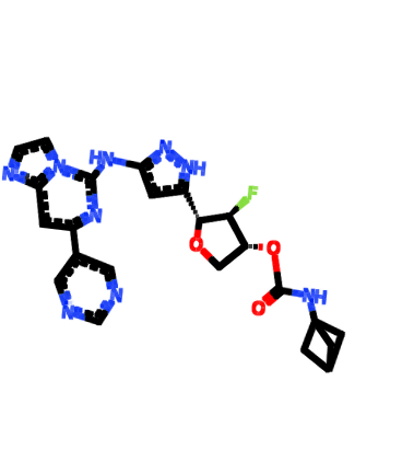 O=C(NC12CC(C1)C2)O[C@@H]1CO[C@H](c2cc(Nc3nc(-c4cncnc4)cc4nccn34)n[nH]2)[C@H]1F